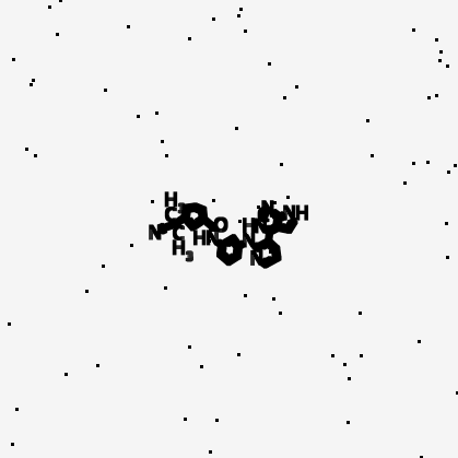 CC(C)(C#N)c1cccc(C(=O)Nc2cccc(Nc3ncccc3-c3ncnc4[nH]ccc34)c2)c1